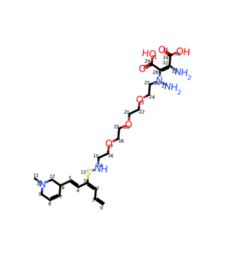 C=C/C=C(\C=C\C1C=CCN(C)C1)SNCCOCCOCCOCCN(N)/C(C(=O)O)=C(\N)C(=O)O